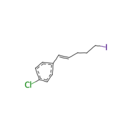 Clc1ccc(C=CCCCI)cc1